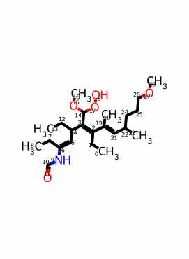 CCC(=C(\C(/C=C(\CC)NC=O)CC)C(OC)OO)/C(C)=C/C(C)CCCOC